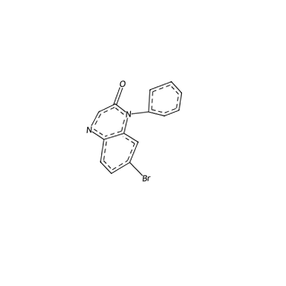 O=c1cnc2ccc(Br)cc2n1-c1ccccc1